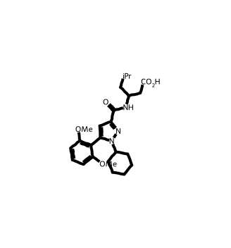 COc1cccc(OC)c1-c1cc(C(=O)NC(CC(=O)O)CC(C)C)nn1C1CCCCC1